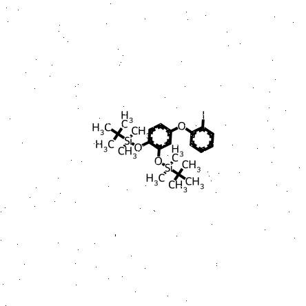 CC(C)(C)[Si](C)(C)Oc1ccc(Oc2ccccc2I)cc1O[Si](C)(C)C(C)(C)C